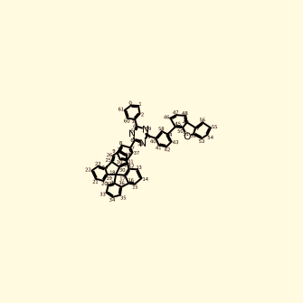 c1ccc(-c2nc(-c3cccc(-c4cccc5c4C4(c6ccccc6-c6ccccc64)c4ccccc4-5)c3)nc(-c3cccc(-c4cccc5c4oc4ccccc45)c3)n2)cc1